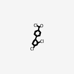 O=C(Cl)c1ccc(-c2ccc(Cl)cc2Cl)cc1